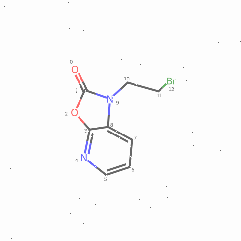 O=c1oc2ncccc2n1CCBr